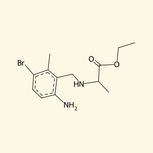 CCOC(=O)C(C)NCc1c(N)ccc(Br)c1C